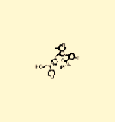 Cc1cncc2c1c(C[C@@H]1CCN([C@@H](CCO)C3CCOCC3)C1)cn2-c1ccc(F)cc1C(=O)N(C)C(C)C